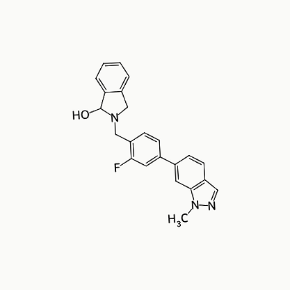 Cn1ncc2ccc(-c3ccc(CN4Cc5ccccc5C4O)c(F)c3)cc21